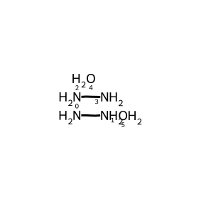 NN.NN.O.O